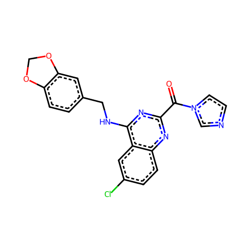 O=C(c1nc(NCc2ccc3c(c2)OCO3)c2cc(Cl)ccc2n1)n1ccnc1